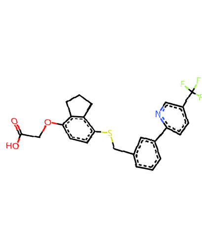 O=C(O)COc1ccc(SCc2cccc(-c3ccc(C(F)(F)F)cn3)c2)c2c1CCC2